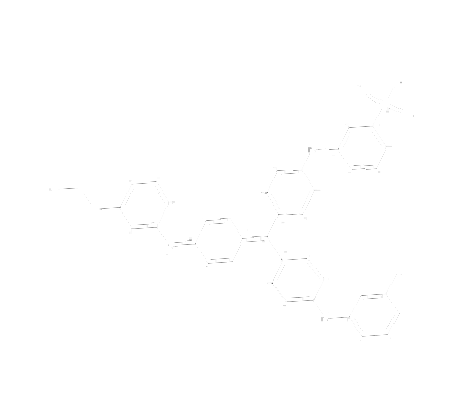 Cc1cccc(Nc2ccc(C(=C3C=CC(=Nc4cccc(SOO)c4)C=C3)c3ccc(Nc4cccc(S(=O)(=O)O)c4)cc3)cc2)c1